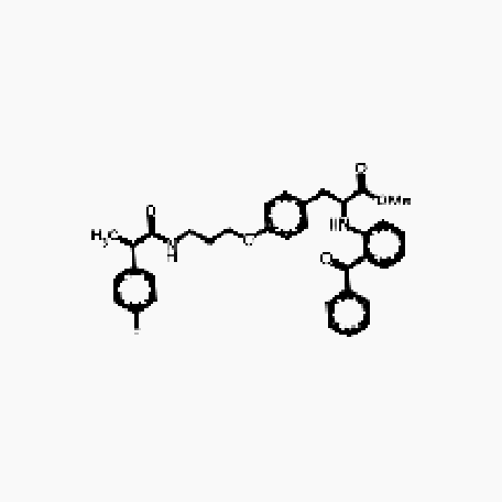 COC(=O)C(Cc1ccc(OCCCNC(=O)C(C)c2ccc(F)cc2)cc1)Nc1ccccc1C(=O)c1ccccc1